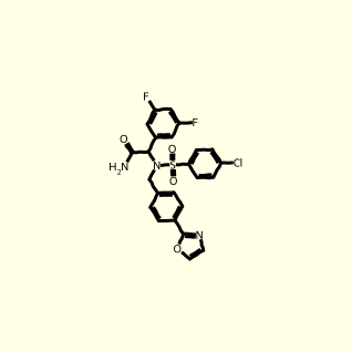 NC(=O)C(c1cc(F)cc(F)c1)N(Cc1ccc(-c2ncco2)cc1)S(=O)(=O)c1ccc(Cl)cc1